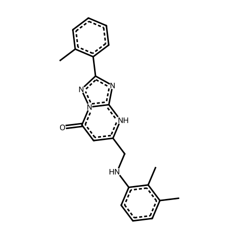 Cc1ccccc1-c1nc2[nH]c(CNc3cccc(C)c3C)cc(=O)n2n1